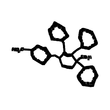 O=C(O)c1ccc(C2C=CC(C(=O)O)(c3ccccc3)C(c3ccccc3)=C2c2ccccc2)cc1